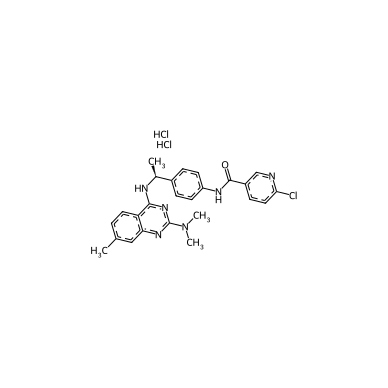 Cc1ccc2c(N[C@@H](C)c3ccc(NC(=O)c4ccc(Cl)nc4)cc3)nc(N(C)C)nc2c1.Cl.Cl